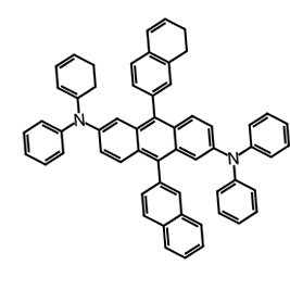 C1=CCCC(N(c2ccccc2)c2ccc3c(-c4ccc5ccccc5c4)c4cc(N(c5ccccc5)c5ccccc5)ccc4c(-c4ccc5c(c4)CCC=C5)c3c2)=C1